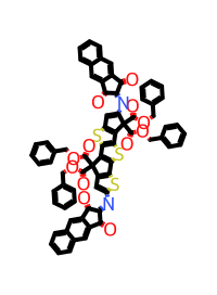 O=C(OCc1ccccc1)C1(C(=O)OCc2ccccc2)C(N=c2c(=O)c3cc4ccccc4cc3c2=O)=Cc2sc3c4c(sc3c21)-c1sc(N=c2c(=O)c3cc5ccccc5cc3c2=O)cc1C4(C(=O)OCc1ccccc1)C(=O)OCc1ccccc1